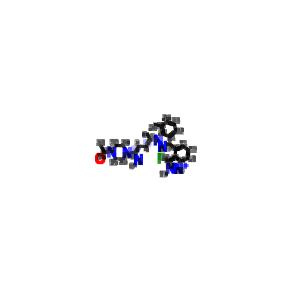 C=N/C(=C\C=C(/C)n1nc(-c2cccc3c2=C(F)[N+](C)=[N+]=3)c2cccc(C)c21)N1CCN(C(C)=O)CC1